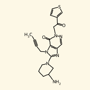 CC#CCn1c(N2CCCC(N)C2)nc2cnn(CC(=O)c3ccsc3)c(=O)c21